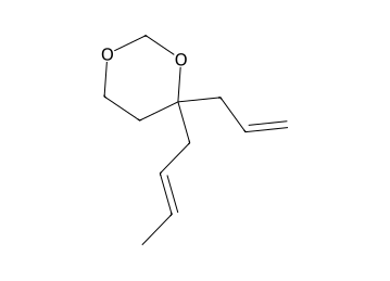 C=CCC1(CC=CC)CCOCO1